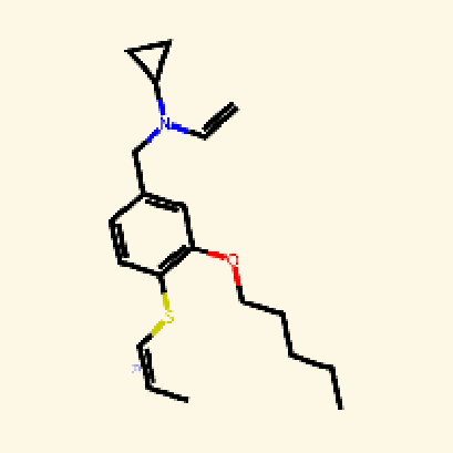 C=CN(Cc1ccc(S/C=C\C)c(OCCCCC)c1)C1CC1